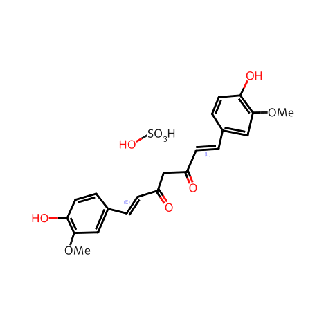 COc1cc(/C=C/C(=O)CC(=O)/C=C/c2ccc(O)c(OC)c2)ccc1O.O=S(=O)(O)O